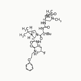 CN(C[C@@H](NC(=O)N[C@H](C(=O)N1C[C@H]2[C@@H]([C@H]1C(=O)N[C@@H](CC(F)F)C(=O)NCCOc1ccccc1)C2(C)C)C(C)(C)C)C(C)(C)C)S(C)(=O)=O